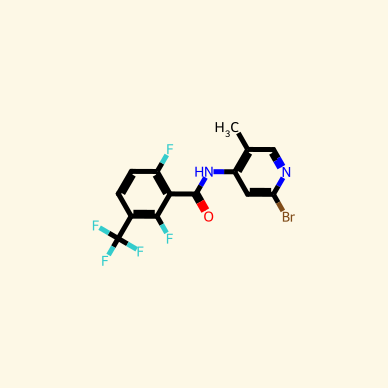 Cc1cnc(Br)cc1NC(=O)c1c(F)ccc(C(F)(F)F)c1F